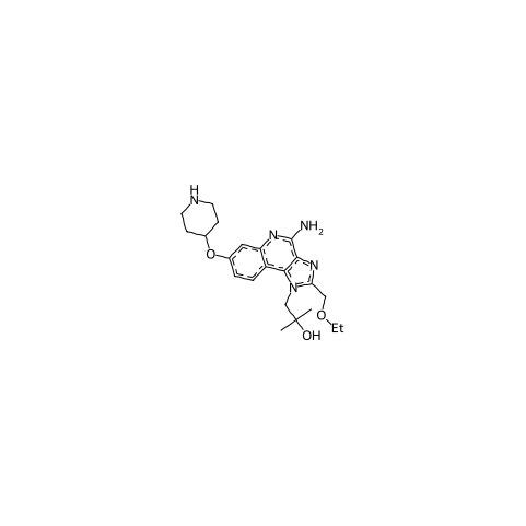 CCOCc1nc2c(N)nc3cc(OC4CCNCC4)ccc3c2n1CC(C)(C)O